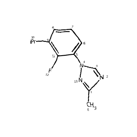 Cc1ncn(-c2cccc(C(C)C)c2F)n1